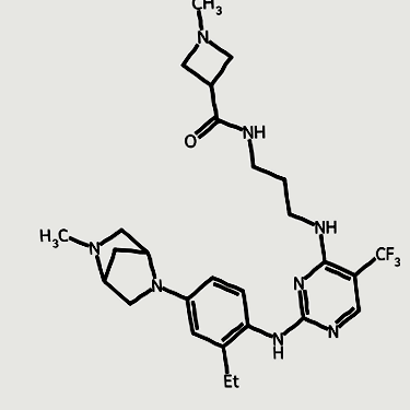 CCc1cc(N2CC3CC2CN3C)ccc1Nc1ncc(C(F)(F)F)c(NCCCNC(=O)C2CN(C)C2)n1